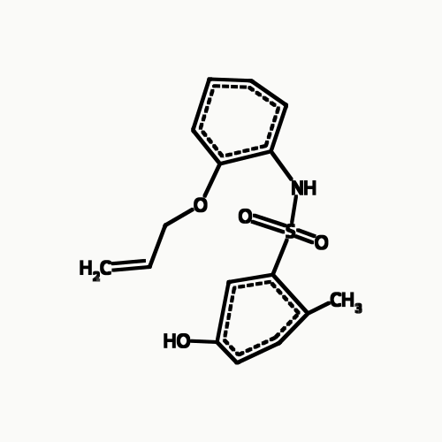 C=CCOc1ccccc1NS(=O)(=O)c1cc(O)ccc1C